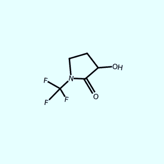 O=C1C(O)CCN1C(F)(F)F